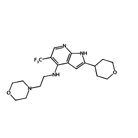 FC(F)(F)c1cnc2[nH]c(C3CCOCC3)cc2c1NCCN1CCOCC1